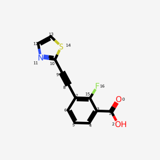 O=C(O)c1cccc(C#Cc2nccs2)c1F